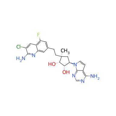 C[C@]1(CCc2cc(F)c3cc(Cl)c(N)nc3c2)C[C@@H](n2ccc3c(N)ncnc32)[C@H](O)[C@@H]1O